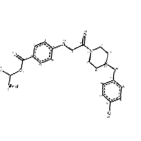 CCCCCC(CC)OC(=O)c1ccc(OCC(=O)N2CCN(Cc3ccc(Cl)cc3)CC2)cc1